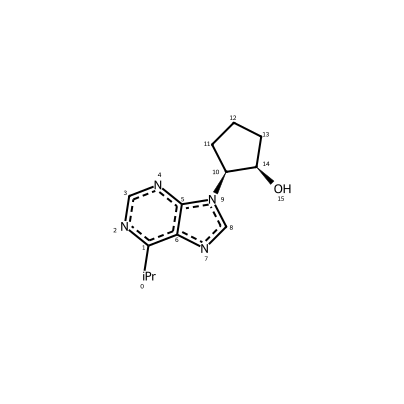 CC(C)c1ncnc2c1ncn2[C@H]1CCC[C@H]1O